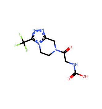 O=C(O)NCC(=O)N1CCn2c(nnc2C(F)(F)F)C1